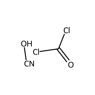 N#CO.O=C(Cl)Cl